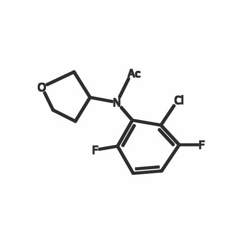 CC(=O)N(c1c(F)ccc(F)c1Cl)C1CCOC1